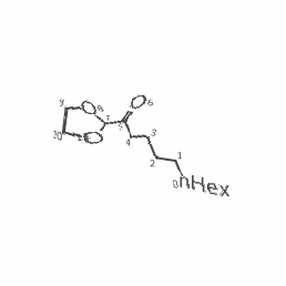 CCCCCCCCCCC(=O)C1OCCO1